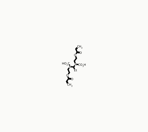 C=CC(=O)OCCN(C(=O)O)C(CC)N(CCOC(=O)C=C)C(=O)O